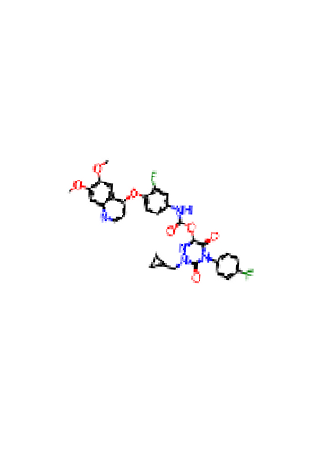 COc1cc2nccc(Oc3ccc(NC(=O)Oc4nn(CC5CC5)c(=O)n(-c5ccc(F)cc5)c4=O)cc3F)c2cc1OC